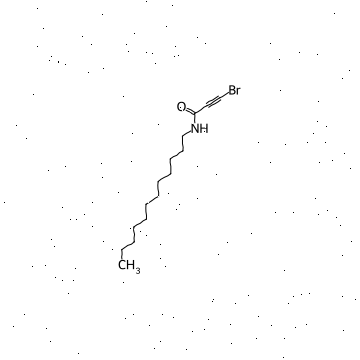 CCCCCCCCCCCCNC(=O)C#CBr